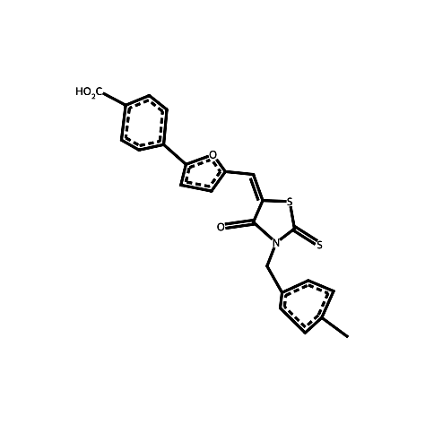 Cc1ccc(CN2C(=O)/C(=C\c3ccc(-c4ccc(C(=O)O)cc4)o3)SC2=S)cc1